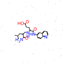 CC(C)C[C@@H](CN[C@@H](CCC(=O)O)C(=O)Nc1ccc2ncccc2c1)C(N)=O